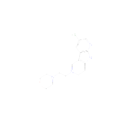 Clc1cnc2[nH]c3c(c2c1)CN(CCN1CCOCC1)CC3